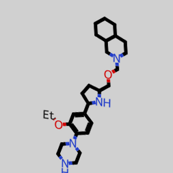 CCOc1cc(C2CCC(COCN3CCC4CCCCC4C3)N2)ccc1N1CCNCC1